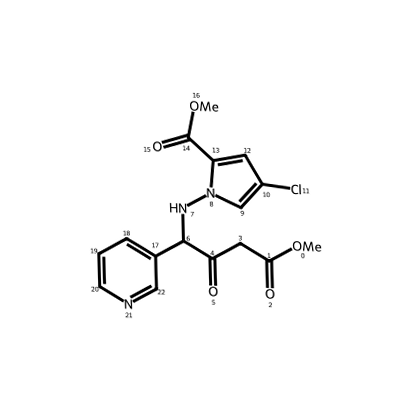 COC(=O)CC(=O)C(Nn1cc(Cl)cc1C(=O)OC)c1cccnc1